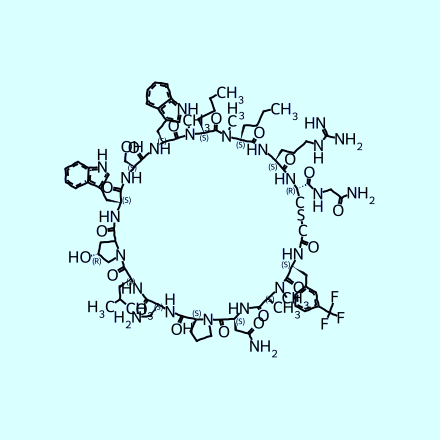 CCCC[C@H]1C(=O)N(C)[C@@H](CCCC)C(=O)N[C@@H](CCCNC(=N)N)C(=O)N[C@H](C(=O)NCC(N)=O)CSCC(=O)N[C@@H](Cc2cccc(C(F)(F)F)c2)C(=O)N(C)[C@@H](C)C(=O)N[C@@H](CC(N)=O)C(=O)N2CCC[C@H]2C(=O)N[C@@H](CN)C(=O)N[C@@H](CC(C)C)C(=O)N2C[C@H](O)CC2C(=O)N[C@@H](Cc2c[nH]c3ccccc23)C(=O)N[C@@H](CO)C(=O)N[C@@H](Cc2c[nH]c3ccccc23)C(=O)N1C